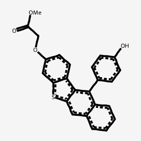 COC(=O)COc1ccc2c(c1)sc1cc3ccccc3c(-c3ccc(O)cc3)c12